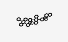 c1ccc(-c2c3ccccc3c(-c3cccc4oc5c(-c6c7ccccc7c(-c7ccc8oc9c%10ccccc%10ccc9c8c7)c7ccccc67)cccc5c34)c3ccccc23)cc1